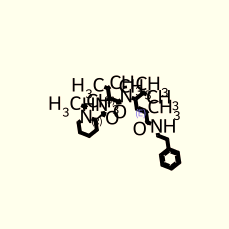 C/C(=C\C(C(C)C)N(C)C(=O)[C@@H](NC(=O)[C@H]1CCCCN1C(C)C)C(C)C)C(=O)NCCc1ccccc1